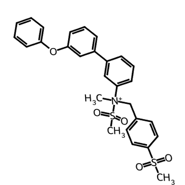 C[N+](Cc1ccc(S(C)(=O)=O)cc1)(c1cccc(-c2cccc(Oc3ccccc3)c2)c1)S(C)(=O)=O